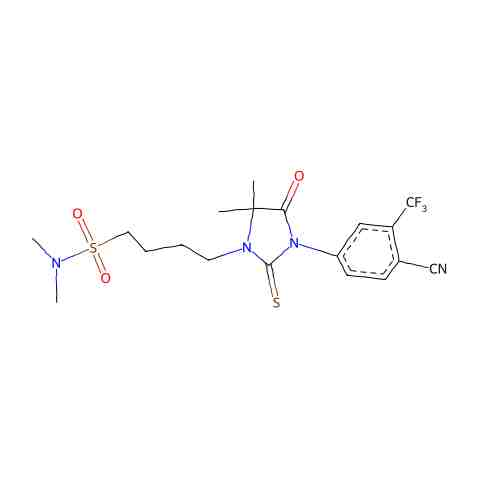 CN(C)S(=O)(=O)CCCCN1C(=S)N(c2ccc(C#N)c(C(F)(F)F)c2)C(=O)C1(C)C